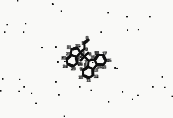 C=CCC1(C(C)(C)C2c3ccccc3-c3ccccc32)C=Cc2ccccc21